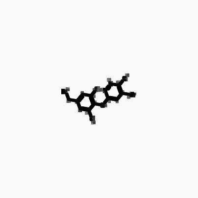 CC(C)c1cc(Oc2c(Cl)cc(CBr)cc2Cl)nnc1Cl